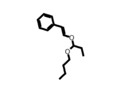 CCCCOC(CC)OC=Cc1ccccc1